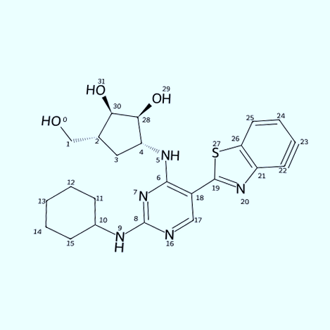 OC[C@H]1C[C@@H](Nc2nc(NC3CCCCC3)ncc2-c2nc3c#cccc3s2)[C@H](O)[C@@H]1O